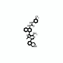 Cc1nc(-c2ccc(NC(=O)Nc3cccc(C(F)(F)F)c3)c3ccccc23)c2c(N)ncc(-c3cccc4c3CCNC4)n12